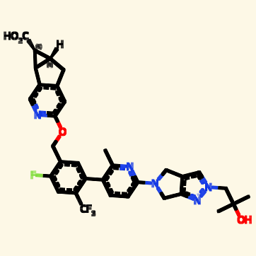 Cc1nc(N2Cc3cn(CC(C)(C)O)nc3C2)ccc1-c1cc(COc2cc3c(cn2)C2[C@@H](C3)[C@@H]2C(=O)O)c(F)cc1C(F)(F)F